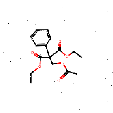 CCOC(=O)C(COC(C)=O)(C(=O)OCC)c1ccccc1